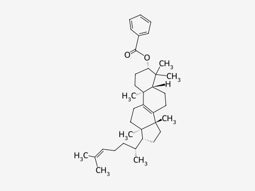 CC(C)=CCC[C@@H](C)[C@H]1CC[C@@]2(C)C3=C(CC[C@]12C)[C@@]1(C)CC[C@H](OC(=O)c2ccccc2)C(C)(C)[C@@H]1CC3